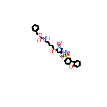 CC1(NS(=O)(=O)c2ccc3oc4ccccc4c3c2)C[C@@H](C(=O)CCCCNC(=O)OCc2ccccc2)[NH+]([O-])C1